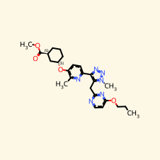 CCCOc1ccnc(Cc2c(-c3ccc(O[C@H]4CCC[C@H](C(=O)OC)C4)c(C)n3)nnn2C)n1